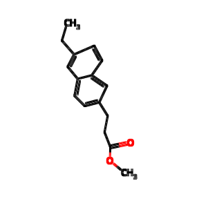 CCc1ccc2cc(CCC(=O)OC)ccc2c1